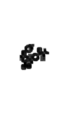 CC(C)NC(=O)C1CCC(Nc2cc(OC3CCN(C)CC3)ncc2[N+](=O)[O-])CC1